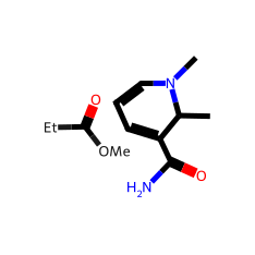 CC1C(C(N)=O)=CC=CN1C.CCC(=O)OC